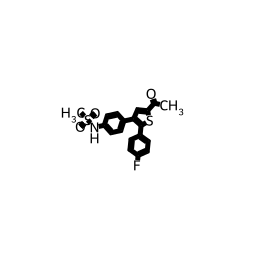 CC(=O)c1cc(-c2ccc(NS(C)(=O)=O)cc2)c(-c2ccc(F)cc2)s1